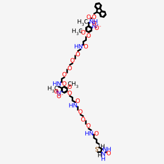 COc1cc(C(C)NC(=O)CCOCCOCCOCCOCCNC(=O)CCCOc2cc([N+](=O)[O-])c(C(C)NC(=O)OCC3c4ccccc4-c4ccccc43)cc2OC)c([N+](=O)[O-])cc1OCCCC(=O)NCCOCCOCCOCCNC(=O)CCCC[C@@H]1SC[C@@H]2NC(=O)N[C@@H]21